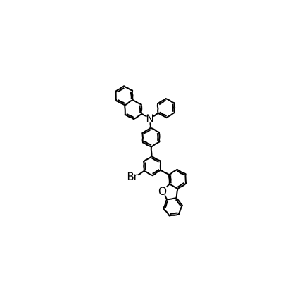 Brc1cc(-c2ccc(N(c3ccccc3)c3ccc4ccccc4c3)cc2)cc(-c2cccc3c2oc2ccccc23)c1